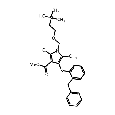 COC(=O)c1c(Sc2ccccc2Cc2ccccc2)c(C)n(COCC[Si](C)(C)C)c1C